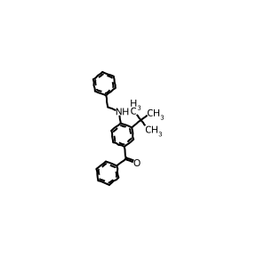 CC(C)(C)c1cc(C(=O)c2ccccc2)ccc1NCc1ccccc1